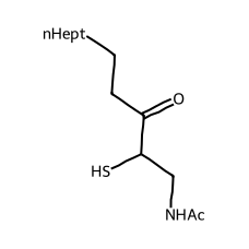 CCCCCCCCCC(=O)C(S)CNC(C)=O